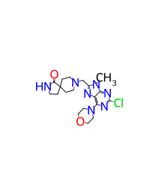 Cn1c(CN2CCC3(CCNC3=O)CC2)nc2c(N3CCOCC3)nc(Cl)nc21